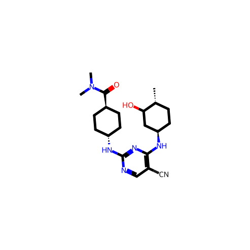 C[C@@H]1CC[C@@H](Nc2nc(N[C@H]3CC[C@H](C(=O)N(C)C)CC3)ncc2C#N)CC1O